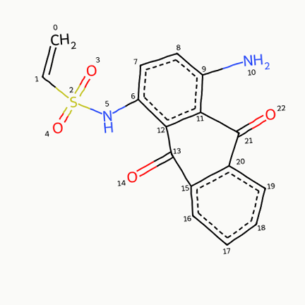 C=CS(=O)(=O)Nc1ccc(N)c2c1C(=O)c1ccccc1C2=O